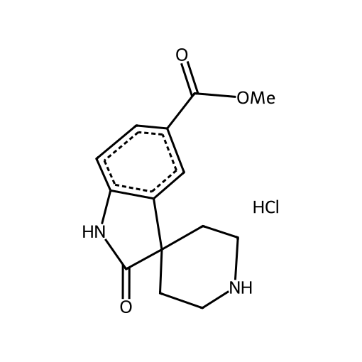 COC(=O)c1ccc2c(c1)C1(CCNCC1)C(=O)N2.Cl